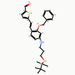 CC(C)(C)[Si](C)(C)OCCCNc1ccc(C=Cc2ccc(C=O)s2)c(OCc2ccccc2)c1